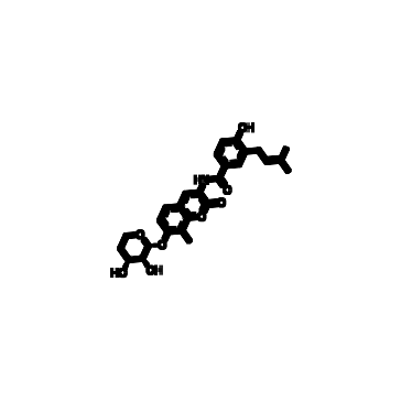 CC(C)=CCc1cc(C(=O)Nc2cc3ccc(O[C@H]4OCC[C@H](O)[C@@H]4O)c(C)c3oc2=O)ccc1O